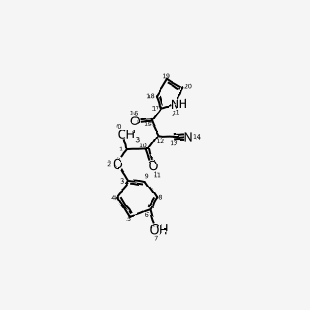 CC(Oc1ccc(O)cc1)C(=O)C(C#N)C(=O)c1ccc[nH]1